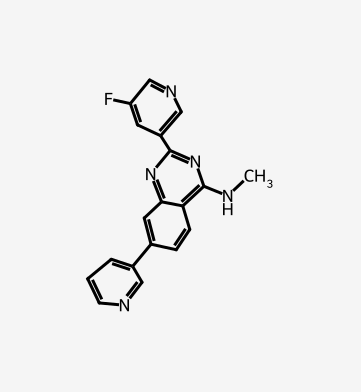 CNc1nc(-c2cncc(F)c2)nc2cc(-c3cccnc3)ccc12